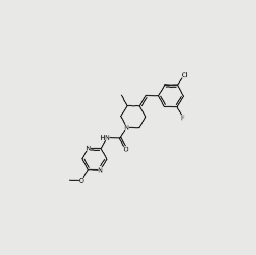 COc1cnc(NC(=O)N2CC/C(=C\c3cc(F)cc(Cl)c3)C(C)C2)cn1